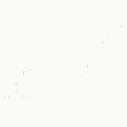 CCCCCCCC/C=C\CCCCCCCC(=O)ONC(=N)N